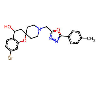 Cc1ccc(-c2nnc(CN3CCC4(CC3)CC(O)c3ccc(Br)cc3O4)o2)cc1